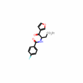 CCOC(=O)CC(NC(=O)c1ccc(F)cc1)C(=O)c1ccoc1